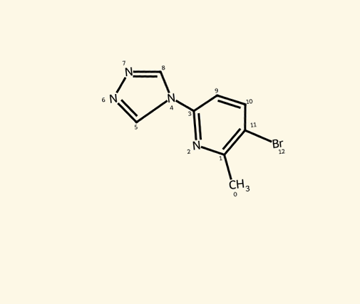 Cc1nc(-n2cnnc2)ccc1Br